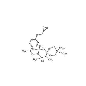 CCC1(C)CC2(OCC(C(=O)O)(C(=O)O)CO2)C(C)C(C)(CC)N1OC(C)c1ccc(OCC2CO2)cc1